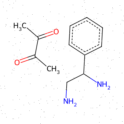 CC(=O)C(C)=O.NCC(N)c1ccccc1